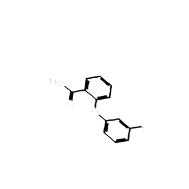 O=C(O)c1ccccc1Oc1cccc(I)c1